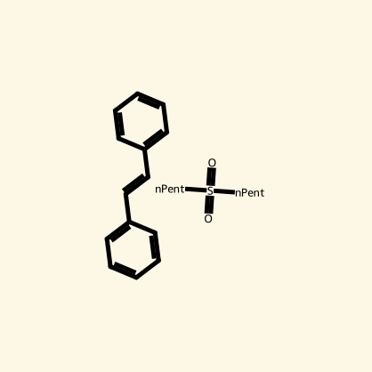 C(=C\c1ccccc1)/c1ccccc1.CCCCCS(=O)(=O)CCCCC